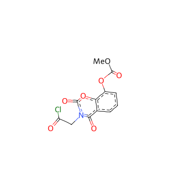 COC(=O)Oc1cccc2c(=O)n(CC(=O)Cl)c(=O)oc12